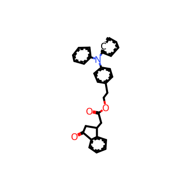 O=C(CC1CC(=O)c2ccccc21)OCCc1ccc(N(c2ccccc2)c2ccccc2)cc1